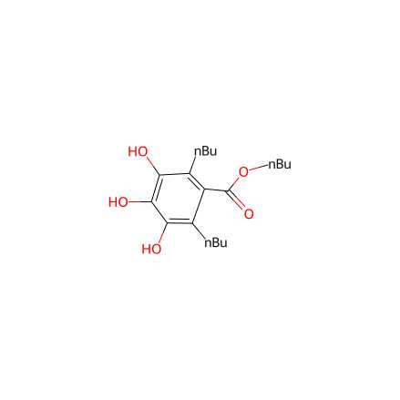 CCCCOC(=O)c1c(CCCC)c(O)c(O)c(O)c1CCCC